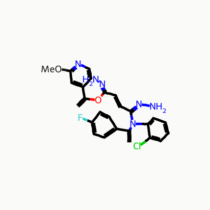 C=C(OC(/C=C/C(=N/N)N(C(=C)c1ccc(F)cc1)c1ccccc1Cl)=N\N)c1ccnc(OC)c1